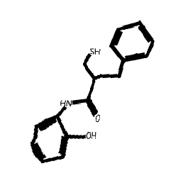 O=C(Nc1ccccc1O)C(CS)Cc1ccccc1